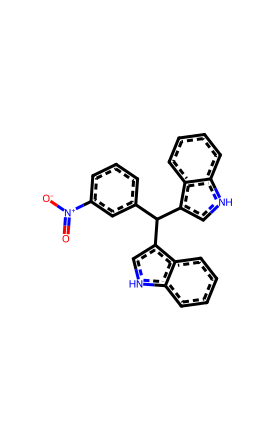 O=[N+]([O-])c1cccc(C(c2c[nH]c3ccccc23)c2c[nH]c3ccccc23)c1